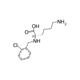 NCCCC[C@H](NCc1ccccc1Cl)C(=O)O